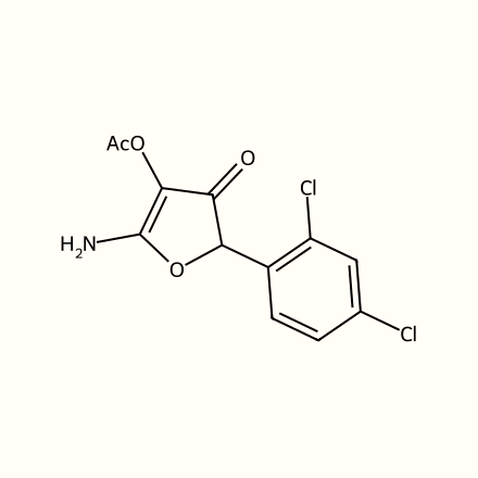 CC(=O)OC1=C(N)OC(c2ccc(Cl)cc2Cl)C1=O